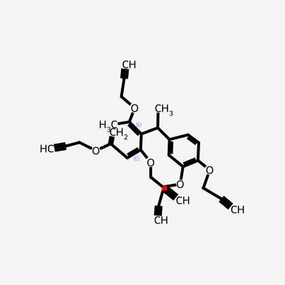 C#CCOC(=C)/C=C(OCC#C)\C(=C(/C)OCC#C)C(C)c1ccc(OCC#C)c(OCC#C)c1